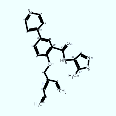 C=C/C=C(\C=C)COc1ccc(-c2ccncc2)cc1C(=O)Nc1cnoc1C